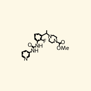 COC(=O)N1CCN(C(C)c2cccc(NC(=O)Nc3cccnc3)c2F)CC1